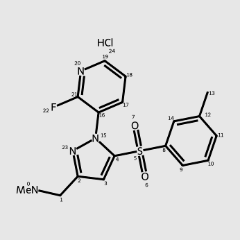 CNCc1cc(S(=O)(=O)c2cccc(C)c2)n(-c2cccnc2F)n1.Cl